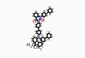 CC1(C)c2ccccc2-c2c(N(c3ccc(-c4ccc(-n5c(=O)c6ccccc6n(-c6ccc(-c7ccccc7)cc6)c5=O)cc4)cc3)c3cccc(-c4ccccc4)c3)cccc21